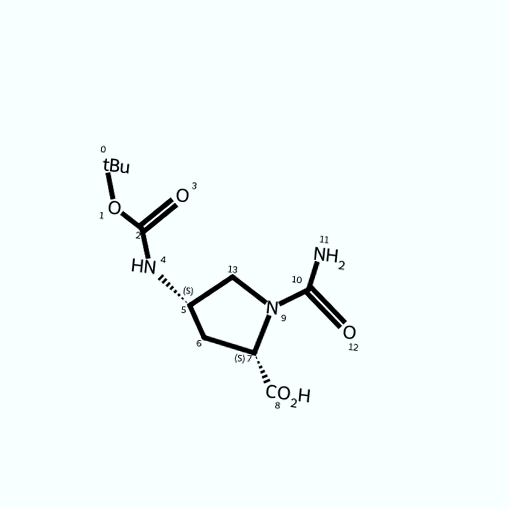 CC(C)(C)OC(=O)N[C@H]1C[C@@H](C(=O)O)N(C(N)=O)C1